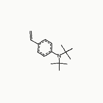 C=Cc1ccc(N(C(C)(C)C)C(C)(C)C)cc1